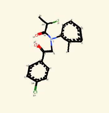 Cc1ccccc1N(CC(=O)c1ccc(Cl)cc1)C(=O)C(C)Cl